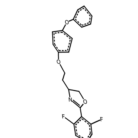 Fc1cccc(F)c1C1=NC(CCOc2ccc(Oc3ccccc3)cc2)CO1